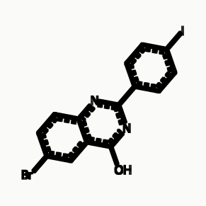 Oc1nc(-c2ccc(I)cc2)nc2ccc(Br)cc12